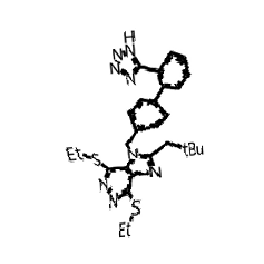 CCSc1nnc(SCC)c2c1nc(CC(C)(C)C)n2Cc1ccc(-c2ccccc2-c2nnn[nH]2)cc1